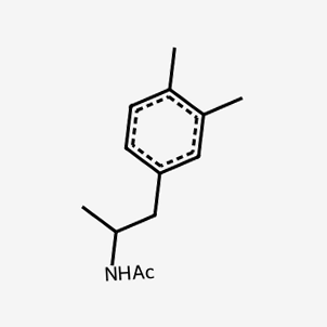 CC(=O)NC(C)Cc1ccc(C)c(C)c1